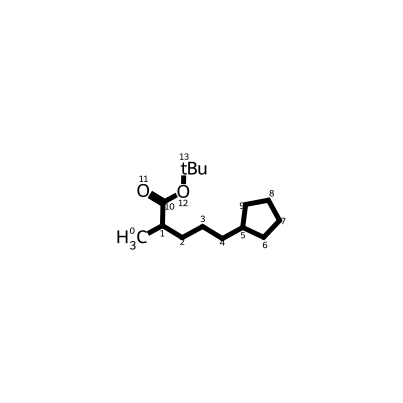 CC(CCCC1CCCC1)C(=O)OC(C)(C)C